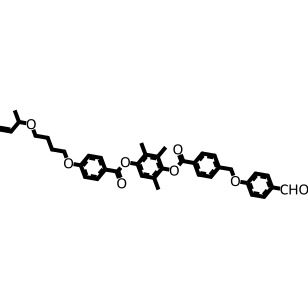 C=CC(C)OCCCCOc1ccc(C(=O)Oc2cc(C)c(OC(=O)c3ccc(COc4ccc(C=O)cc4)cc3)c(C)c2C)cc1